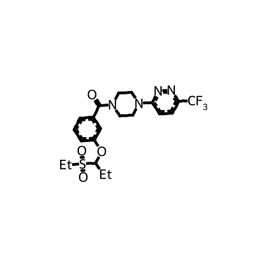 CCC(Oc1cccc(C(=O)N2CCN(c3ccc(C(F)(F)F)nn3)CC2)c1)S(=O)(=O)CC